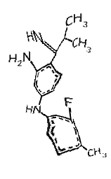 Cc1ccc(Nc2ccc(C(=N)C(C)C)c(N)c2)c(F)c1